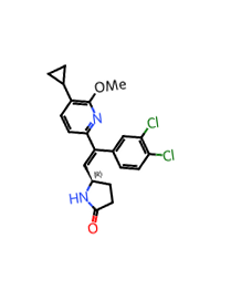 COc1nc(C(=C[C@H]2CCC(=O)N2)c2ccc(Cl)c(Cl)c2)ccc1C1CC1